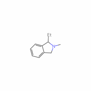 CCC1c2ccccc2CN1C